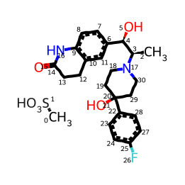 CS(=O)(=O)O.C[C@H]([C@H](O)c1ccc2c(c1)CCC(=O)N2)N1CCC(O)(c2ccc(F)cc2)CC1